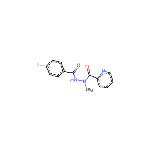 CC(C)(C)N(NC(=O)c1ccc(F)cc1)C(=O)c1ccccn1